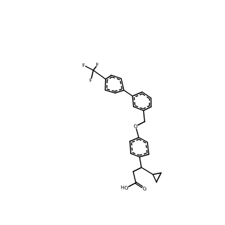 O=C(O)CC(c1ccc(OCc2cccc(-c3ccc(C(F)(F)F)cc3)c2)cc1)C1CC1